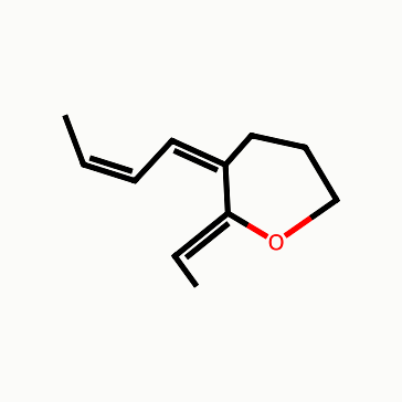 C\C=C/C=C1/CCCO/C1=C\C